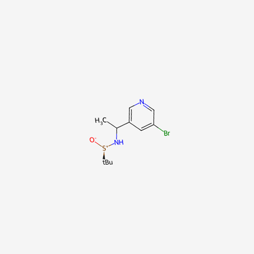 CC(N[S@+]([O-])C(C)(C)C)c1cncc(Br)c1